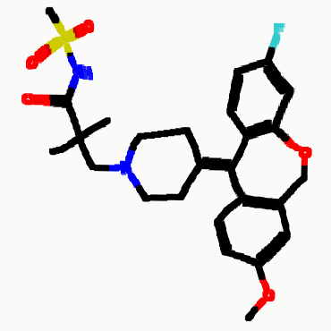 COc1ccc2c(c1)COc1cc(F)ccc1C2=C1CCN(CC(C)(C)C(=O)NS(C)(=O)=O)CC1